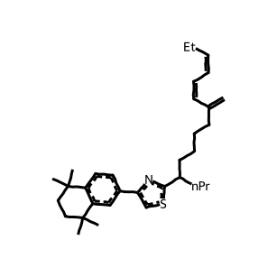 C=C(/C=C\C=C/CC)CCCCC(CCC)c1nc(-c2ccc3c(c2)C(C)(C)CCC3(C)C)cs1